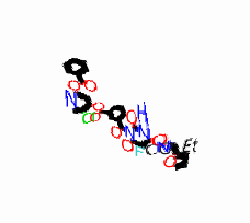 CCOC(=O)C1(F)C(=O)N(C(=O)c2cccc(C(=O)Oc3cc(OC(=O)c4ccccc4)ncc3Cl)c2)C(=O)NC1O/N=C/c1ccco1